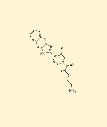 NCCCNC(=O)c1ccc(-c2nc3cc4ccccc4cc3[nH]2)c(F)c1